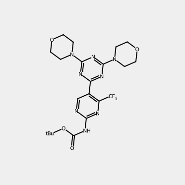 CC(C)(C)OC(=O)Nc1ncc(-c2nc(N3CCOCC3)nc(N3CCOCC3)n2)c(C(F)(F)F)n1